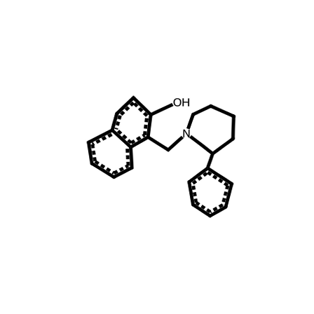 Oc1ccc2ccccc2c1CN1CCCCC1c1ccccc1